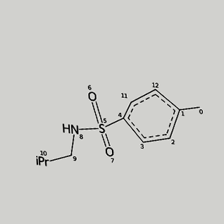 Cc1ccc(S(=O)(=O)NCC(C)C)cc1